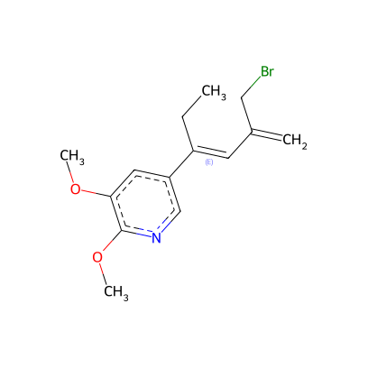 C=C(/C=C(\CC)c1cnc(OC)c(OC)c1)CBr